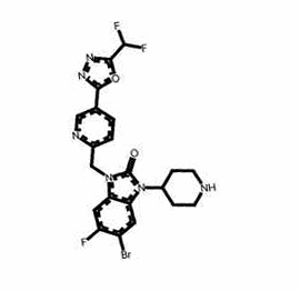 O=c1n(Cc2ccc(-c3nnc(C(F)F)o3)cn2)c2cc(F)c(Br)cc2n1C1CCNCC1